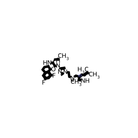 CCC[C@H](N[C@H]1CCc2cc(F)cc(F)c2C1)C(=O)Nc1cn(CCN(C)C/C(C=N)=C/C=C(C)C)cn1